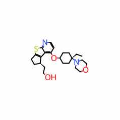 CC[C@]1(N2CCOCC2)CC[C@H](Oc2ccnc3sc4c(c23)[C@@H](CCO)CC4)CC1